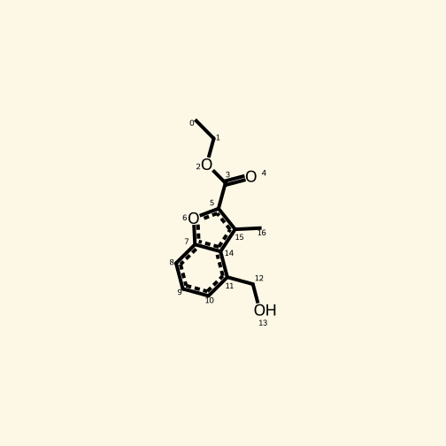 CCOC(=O)c1oc2cccc(CO)c2c1C